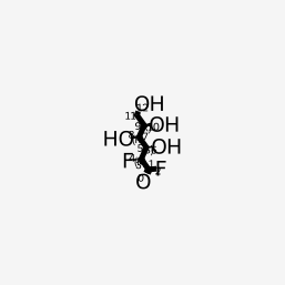 O=C(F)[C@H](F)[C@@H](O)[C@H](O)[C@H](O)CO